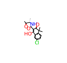 CC(=O)[C@H](C)NC(=O)C1=C(O)c2cc(Cl)ccc2C(C)(C)C1=O